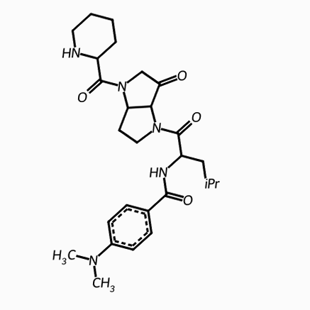 CC(C)CC(NC(=O)c1ccc(N(C)C)cc1)C(=O)N1CCC2C1C(=O)CN2C(=O)C1CCCCN1